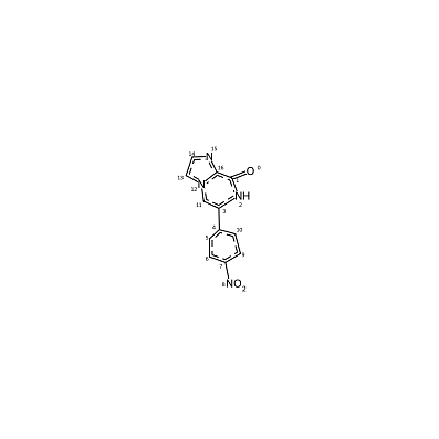 O=c1[nH]c(-c2ccc([N+](=O)[O-])cc2)cn2ccnc12